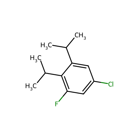 CC(C)c1cc(Cl)cc(F)c1C(C)C